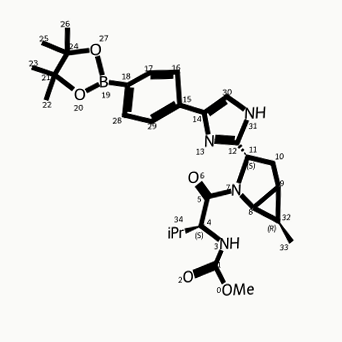 COC(=O)N[C@H](C(=O)N1C2C(C[C@H]1c1nc(-c3ccc(B4OC(C)(C)C(C)(C)O4)cc3)c[nH]1)[C@H]2C)C(C)C